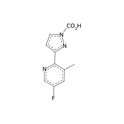 Cc1cc(F)cnc1-c1ccn(C(=O)O)n1